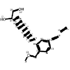 C=C.C=C.C=C.C=C.C=C.C=C.C=C.C=C.C=C.COCc1ccccc1.OCCO